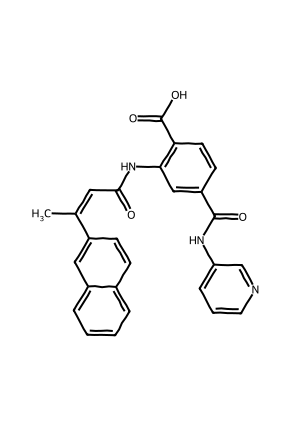 C/C(=C/C(=O)Nc1cc(C(=O)Nc2cccnc2)ccc1C(=O)O)c1ccc2ccccc2c1